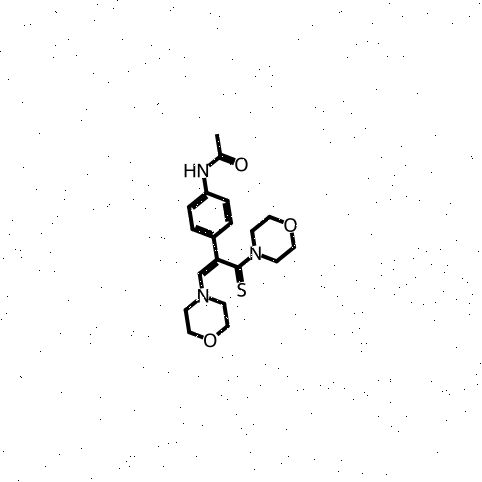 CC(=O)Nc1ccc(C(=CN2CCOCC2)C(=S)N2CCOCC2)cc1